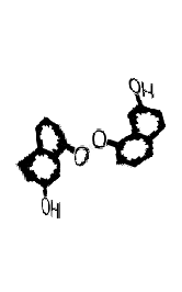 Oc1ccc2cccc(OOc3cccc4ccc(O)cc34)c2c1